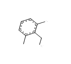 COCc1c(C)cccc1[N+](=O)[O-]